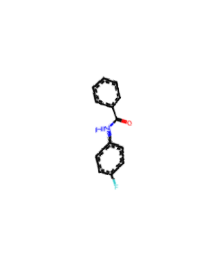 O=C(Nc1ccc(F)cc1)c1cc[c]cc1